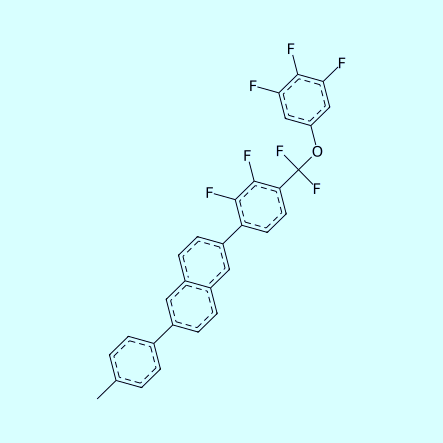 Cc1ccc(-c2ccc3cc(-c4ccc(C(F)(F)Oc5cc(F)c(F)c(F)c5)c(F)c4F)ccc3c2)cc1